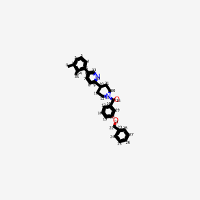 Cc1cccc(-c2ccc(C3CCN(C(=O)c4cccc(OCc5ccccc5)c4)CC3)nc2)c1C